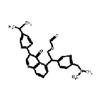 CC(C)c1ccc(C2C=Nc3cccc(C(COC=O)c4ccc(CN(C)C)cc4)c3C2=O)cc1